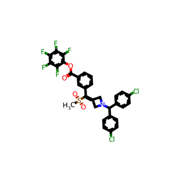 CS(=O)(=O)C(=C1CN(C(c2ccc(Cl)cc2)c2ccc(Cl)cc2)C1)c1cccc(C(=O)Oc2c(F)c(F)c(F)c(F)c2F)c1